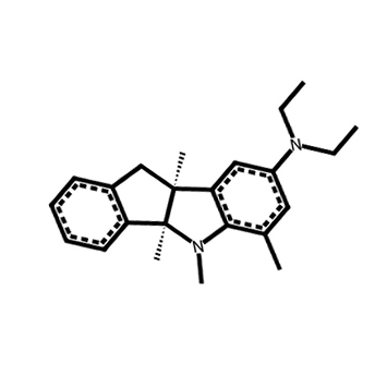 CCN(CC)c1cc(C)c2c(c1)[C@]1(C)Cc3ccccc3[C@]1(C)N2C